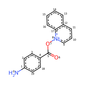 Nc1ccc(C(=O)O[n+]2cccc3ccccc32)cc1